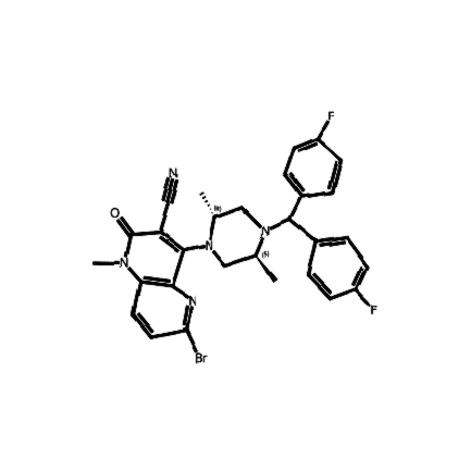 C[C@@H]1CN(C(c2ccc(F)cc2)c2ccc(F)cc2)[C@@H](C)CN1c1c(C#N)c(=O)n(C)c2ccc(Br)nc12